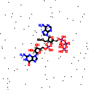 COC[C@@H]1[C@H](OP(=O)(O)OC[C@H]2O[C@@H](n3cnc4c(=O)[nH]c(N)nc43)[C@H](O)[C@@H]2O)[C@@H](COP(=O)(O)OP(=O)(O)OP(=O)(O)O)O[C@H]1n1cnc2c(N)ncnc21